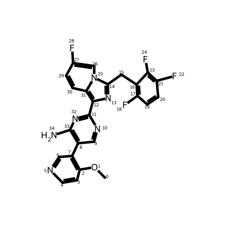 COc1ccncc1-c1cnc(-c2nc(Cc3c(F)ccc(F)c3F)n3cc(F)ccc23)nc1N